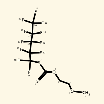 COCCOC(=S)SC(F)(F)C(F)(F)C(F)(F)C(F)(F)C(F)(F)F